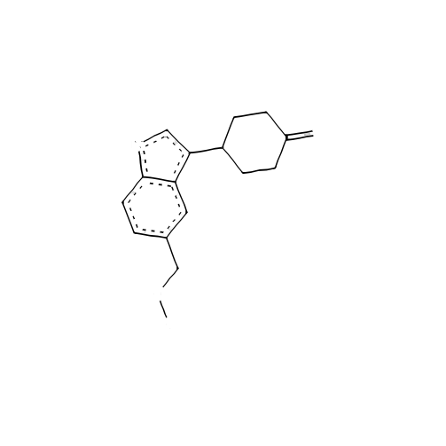 COCc1ccc2[nH]cc(C3CCC(=O)CC3)c2c1